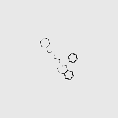 O=C(CNCC1CCCCC1)N1CCc2ccccc2C1c1ccccc1